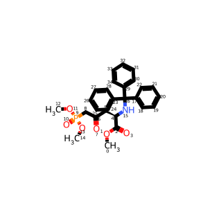 COC(=O)[C@@H](CC(=O)CP(=O)(OC)OC)NC(c1ccccc1)(c1ccccc1)c1ccccc1